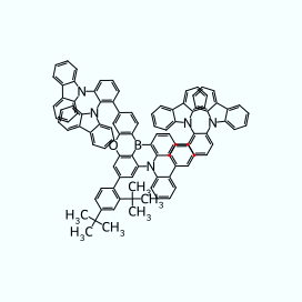 CC(C)(C)c1ccc(-c2cc3c4c(c2)N(c2ccccc2-c2ccccc2)c2cc(-c5cccc(-n6c7ccccc7c7ccccc76)c5-n5c6ccccc6c6ccccc65)ccc2B4c2ccc(-c4cccc(-n5c6ccccc6c6ccccc65)c4-n4c5ccccc5c5ccccc54)cc2O3)c(C(C)(C)C)c1